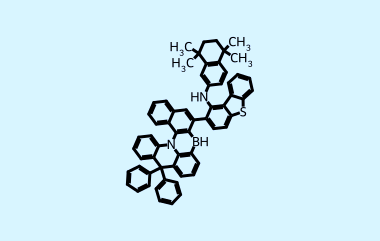 CC1(C)CCC(C)(C)c2cc(Nc3c(-c4cc5ccccc5c5c4Bc4cccc6c4N5c4ccccc4C6(c4ccccc4)c4ccccc4)ccc4sc5ccccc5c34)ccc21